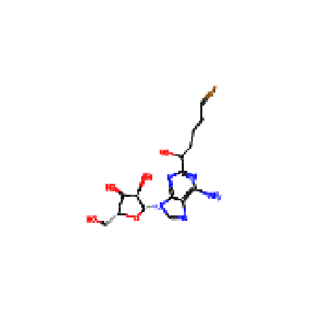 Nc1nc(C(O)CCCC=S)nc2c1ncn2[C@@H]1O[C@H](CO)[C@@H](O)[C@H]1O